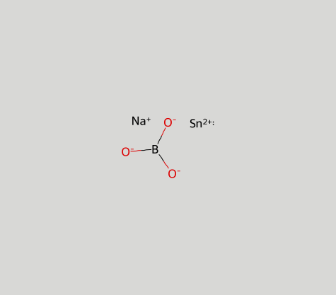 [Na+].[O-]B([O-])[O-].[Sn+2]